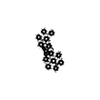 c1ccc(N(c2ccccc2)c2cc3c4c(c2)N(c2ccccc2)c2ccccc2B4c2cc4c(cc2O3)Oc2cc3c(cc2C42c4ccccc4-c4ccccc42)B2c4ccccc4N(c4ccccc4)c4cc(N(c5ccccc5)c5ccccc5)cc(c42)N3c2ccccc2)cc1